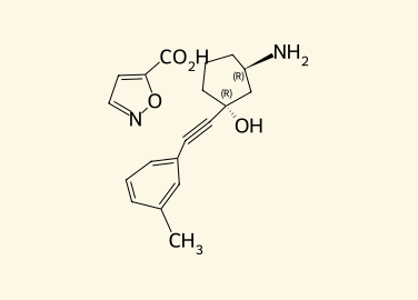 Cc1cccc(C#C[C@@]2(O)CCC[C@@H](N)C2)c1.O=C(O)c1ccno1